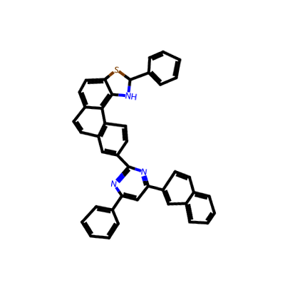 c1ccc(-c2cc(-c3ccc4ccccc4c3)nc(-c3ccc4c(ccc5ccc6c(c54)NC(c4ccccc4)S6)c3)n2)cc1